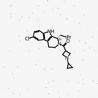 CC(C)C[C@H]1c2[nH]c3ccc(Cl)cc3c2CCN1C(=O)C1CN(C2CC2)C1